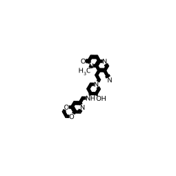 Cn1c(=O)ccc2ncc(C#N)c(CCN3CC[C@H](NCc4cc5c(cn4)OCCO5)[C@H](O)C3)c21